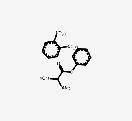 CCCCCCCCC(CCCCCCCC)C(=O)Oc1ccccc1.O=C(O)c1ccccc1C(=O)O